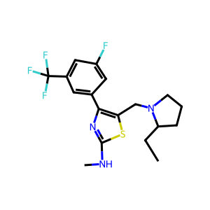 CCC1CCCN1Cc1sc(NC)nc1-c1cc(F)cc(C(F)(F)F)c1